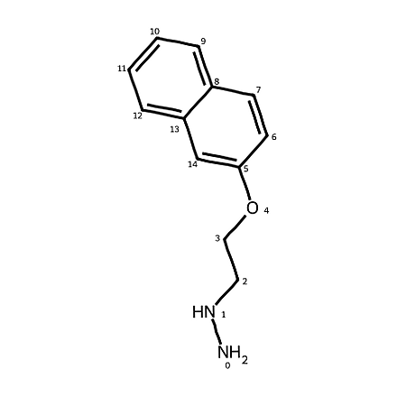 NNCCOc1ccc2ccccc2c1